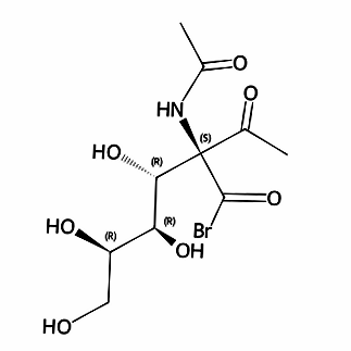 CC(=O)N[C@@](C(C)=O)(C(=O)Br)[C@@H](O)[C@@H](O)[C@H](O)CO